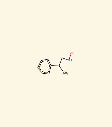 CC(CNO)c1ccccc1